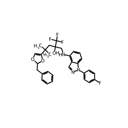 CC(C)(CC(O)(CNc1cccc2c1cnn2-c1ccc(F)cc1)C(F)(F)F)C1=COC(Cc2ccccc2)O1